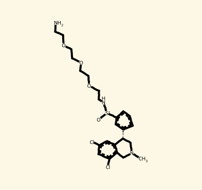 CN1Cc2c(Cl)cc(Cl)cc2[C@H](c2cccc([S+]([O-])NCCOCCOCCOCCN)c2)C1